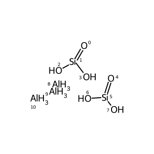 O=[Si](O)O.O=[Si](O)O.[AlH3].[AlH3].[AlH3]